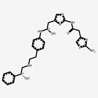 Nc1nc(CC(=O)Nc2nc(C[C@@H](O)Nc3ccc(CCNC[C@H](O)c4ccccc4)cc3)cs2)cs1